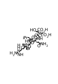 CC(C)C[C@H](NC(=O)[C@H](CC(C)C)NC(=O)[C@@H](N)CCCNC(=N)N)C(=O)N[C@@H](CCC(N)=O)C(=O)N[C@@H](CC(=O)O)C(=O)N[C@@H](CO)C(=O)O